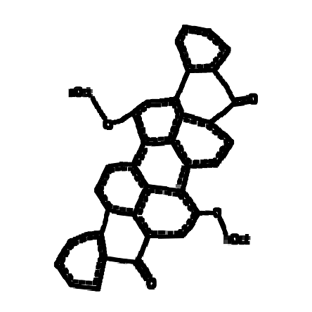 CCCCCCCCOc1cc2c3c(ccc4c5c(OCCCCCCCC)cc6c7c(ccc(c1c34)c75)C(=O)c1ccccc1-6)-c1ccccc1C2=O